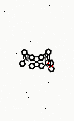 O=C(c1ccccc1)c1ccc2c(c1)C1(c3ccccc3-2)c2cc3c(cc2-c2cc4c5ccccc5n(-c5ccccc5)c4cc21)c1ccccc1n3-c1ccccc1